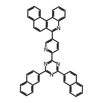 c1ccc2cc(-c3nc(-c4ccc5ccccc5c4)nc(-c4ccc(-c5nc6ccccc6c6c5ccc5ccccc56)cn4)n3)ccc2c1